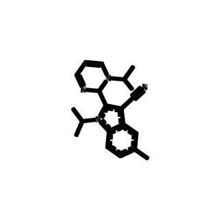 Cc1ccc2c(c1)c(C#N)c(C1N=CC=CN1C(C)C)n2C(C)C